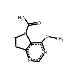 COc1ncnc2c1N(C(N)=O)[CH]S2